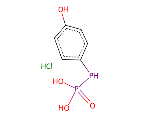 Cl.O=P(O)(O)Pc1ccc(O)cc1